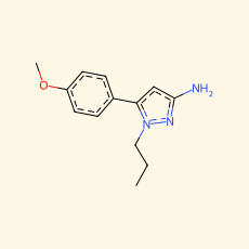 CCCn1nc(N)cc1-c1ccc(OC)cc1